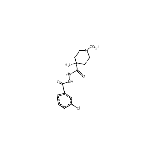 CC1(C(=O)NNC(=O)c2cccc(Cl)c2)CCN(C(=O)O)CC1